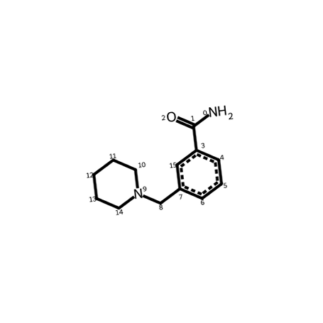 NC(=O)c1cccc(CN2CCCCC2)c1